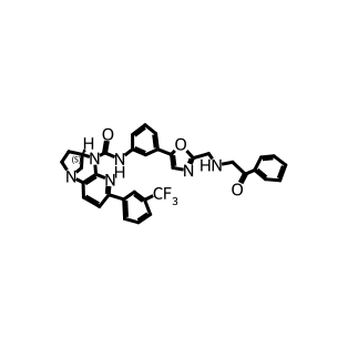 O=C(CNCc1ncc(-c2cccc(NC(=O)N3c4nc(-c5cccc(C(F)(F)F)c5)ccc4N4CC[C@H]3C4)c2)o1)c1ccccc1